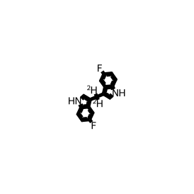 [2H]C([2H])(c1c[nH]c2ccc(F)cc12)c1c[nH]c2ccc(F)cc12